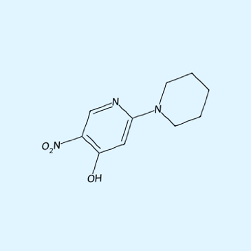 O=[N+]([O-])c1cnc(N2CCCCC2)cc1O